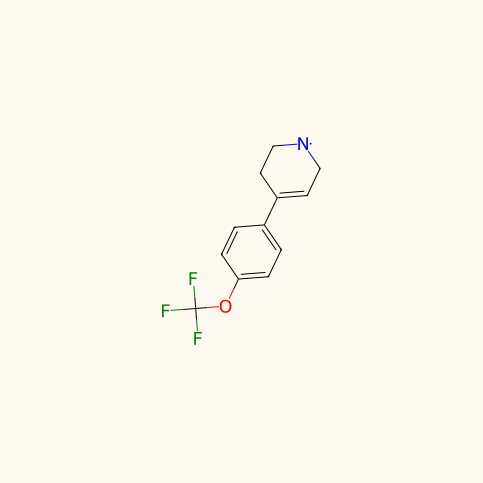 FC(F)(F)Oc1ccc(C2=CC[N]CC2)cc1